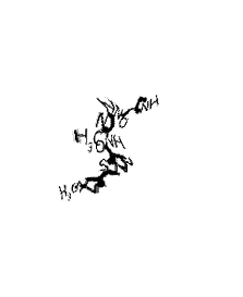 Cc1ncc(NC(=O)C[C@H]2CCNC2)cc1NC(=O)c1cnn2cc(-c3cnn(C)c3)sc12